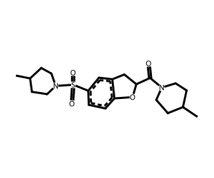 CC1CCN(C(=O)C2Cc3cc(S(=O)(=O)N4CCC(C)CC4)ccc3O2)CC1